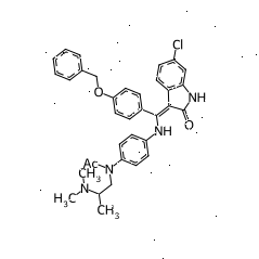 CC(=O)N(CC(C)N(C)C)c1ccc(N/C(=C2\C(=O)Nc3cc(Cl)ccc32)c2ccc(OCc3ccccc3)cc2)cc1